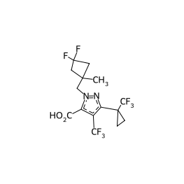 CC1(Cn2nc(C3(C(F)(F)F)CC3)c(C(F)(F)F)c2C(=O)O)CC(F)(F)C1